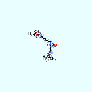 CC(C)(C)OC(=O)NCCCCCCCCN(CC(=O)O)C(=O)CCCCNC(=O)OC(C)(C)C